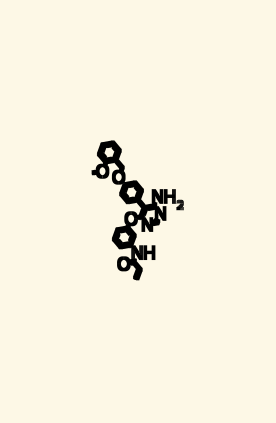 C=CC(=O)Nc1cccc(Oc2ncnc(N)c2-c2ccc(OCc3ccccc3OC)cc2)c1